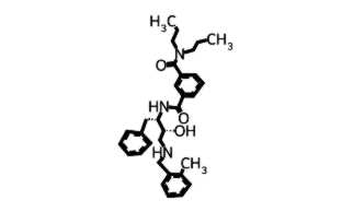 CCCN(CCC)C(=O)c1cccc(C(=O)N[C@@H](Cc2ccccc2)[C@H](O)CNCc2ccccc2C)c1